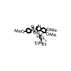 CCN(CC)CCC(C)Nc1c(S(=O)(=O)c2ccc(OC)cc2)cnc2cc(OC)c(OC)cc12